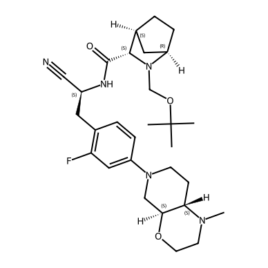 CN1CCO[C@H]2CN(c3ccc(C[C@@H](C#N)NC(=O)[C@@H]4[C@H]5CC[C@H](C5)N4COC(C)(C)C)c(F)c3)CC[C@@H]21